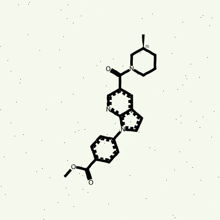 COC(=O)c1ccc(-n2ccc3cc(C(=O)N4CCC[C@H](C)C4)cnc32)cc1